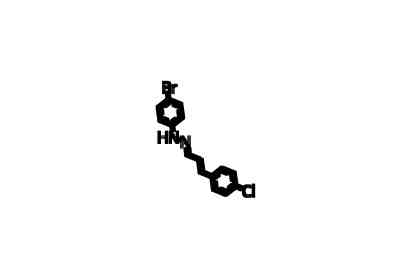 Clc1ccc(C=CC=NNc2ccc(Br)cc2)cc1